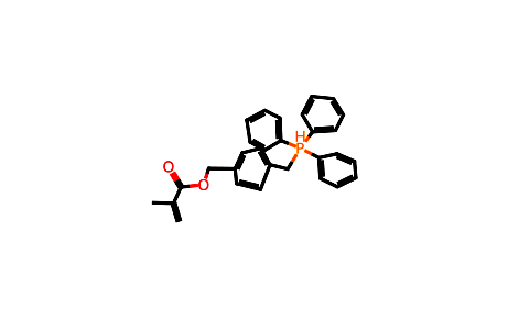 C=C(C)C(=O)OCc1ccc(C[PH](c2ccccc2)(c2ccccc2)c2ccccc2)cc1